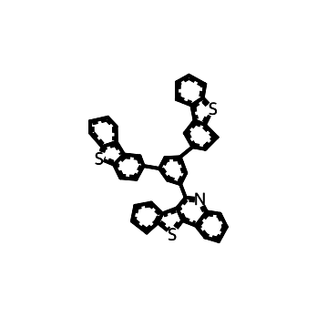 c1ccc2c(c1)nc(-c1cc(-c3ccc4sc5ccccc5c4c3)cc(-c3ccc4sc5ccccc5c4c3)c1)c1c3ccccc3sc21